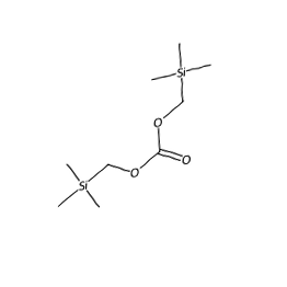 C[Si](C)(C)COC(=O)OC[Si](C)(C)C